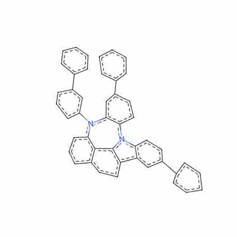 c1ccc(-c2cccc(-n3c4cccc5ccc6c7cc(-c8ccccc8)ccc7n(c7ccc(-c8ccccc8)cc73)c6c54)c2)cc1